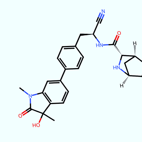 CN1C(=O)C(C)(O)c2ccc(-c3ccc(C[C@@H](C#N)NC(=O)[C@H]4N[C@@H]5CC[C@H]4C5)cc3)cc21